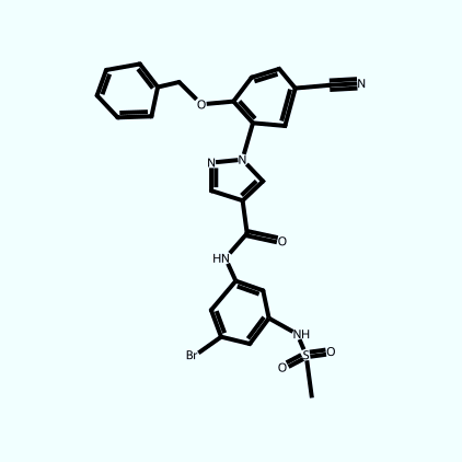 CS(=O)(=O)Nc1cc(Br)cc(NC(=O)c2cnn(-c3cc(C#N)ccc3OCc3ccccc3)c2)c1